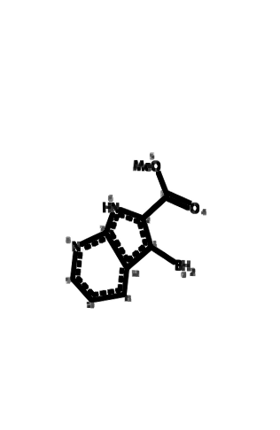 Bc1c(C(=O)OC)[nH]c2ncccc12